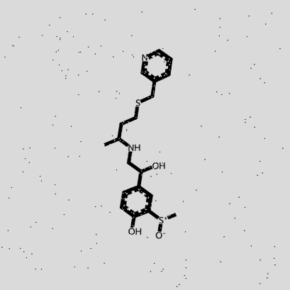 CC(CCSCc1cccnc1)NCC(O)c1ccc(O)c([S+](C)[O-])c1